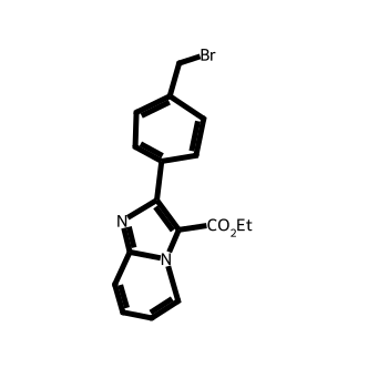 CCOC(=O)c1c(-c2ccc(CBr)cc2)nc2ccccn12